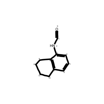 O=CNc1cccc2c1CCCC2